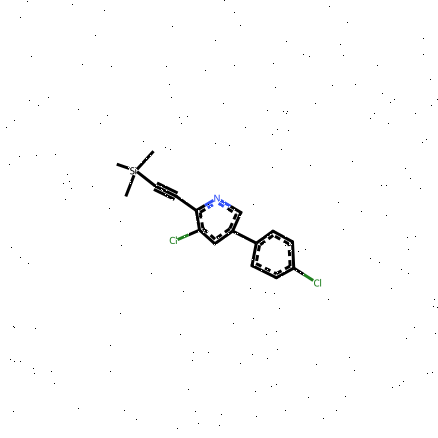 C[Si](C)(C)C#Cc1ncc(-c2ccc(Cl)cc2)cc1Cl